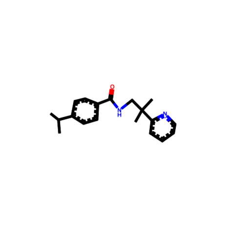 CC(C)c1ccc(C(=O)NCC(C)(C)c2ccccn2)cc1